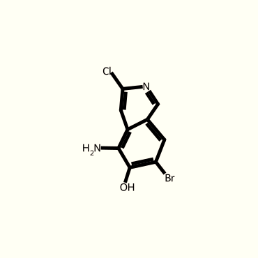 Nc1c(O)c(Br)cc2cnc(Cl)cc12